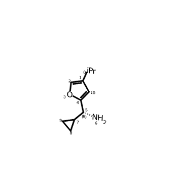 CC(C)c1coc([C@H](N)C2CC2)c1